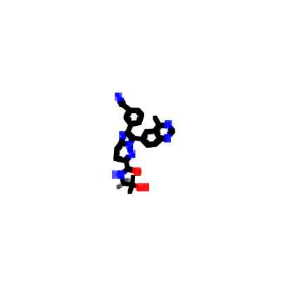 Cc1ncnc2ccc(-c3c(-c4cccc(C#N)c4)nc4ccc(C(=O)N[C@@H](C)C(C)(C)O)nn34)cc12